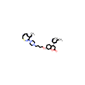 C=C/C=C(\C=C/C)[C@@H]1CC(=O)OC2=C1CC[C@@H](OCCCCN1CCN(\C3=N\SC\C=C/C=C/C3=C\C)CC1)C2